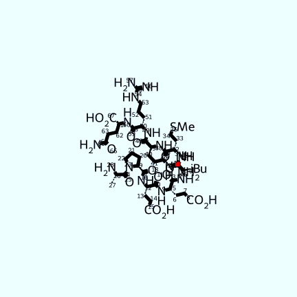 CC[C@H](C)[C@H](NC(=O)[C@H](CCC(=O)O)NC(=O)[C@H](CCC(=O)O)NC(=O)[C@@H]1CCCN1C(=O)[C@H](C)N)C(=O)N[C@@H](CCSC)C(=O)N[C@@H](CCCNC(=N)N)C(=O)N[C@@H](CCCNC(=N)N)C(=O)N[C@@H](CCC(N)=O)C(=O)O